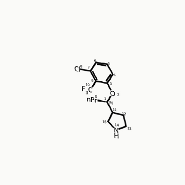 CCC[C@@H](Oc1cccc(Cl)c1C(F)(F)F)C1CCNC1